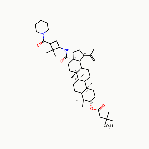 C=C(C)[C@@H]1CC[C@]2(C(=O)NC3CC(C(=O)N4CCCCC4)C3(C)C)CC[C@]3(C)C(CCC4[C@@]5(C)CC[C@H](OC(=O)CC(C)(C)C(=O)O)C(C)(C)C5CC[C@]43C)C12